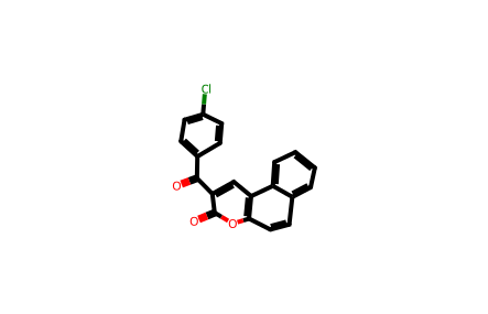 O=C(c1ccc(Cl)cc1)c1cc2c(ccc3ccccc32)oc1=O